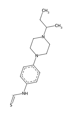 CCC(C)N1CCN(c2ccc(N[C]=S)cc2)CC1